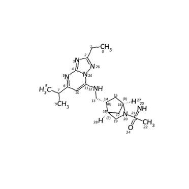 CCc1nc2nc(C(C)C)cc(NC[C@@H]3C[C@@H]4C[C@H]3CN4S(C)(=N)=O)n2n1